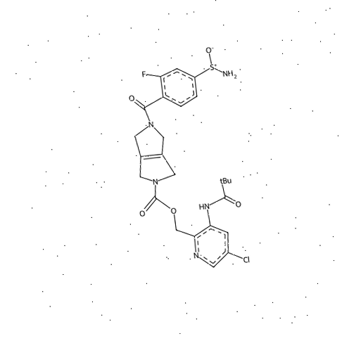 CC(C)(C)C(=O)Nc1cc(Cl)cnc1COC(=O)N1CC2=C(C1)CN(C(=O)c1ccc([S+](N)[O-])cc1F)C2